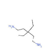 CCC(CC)(CCN)CCN